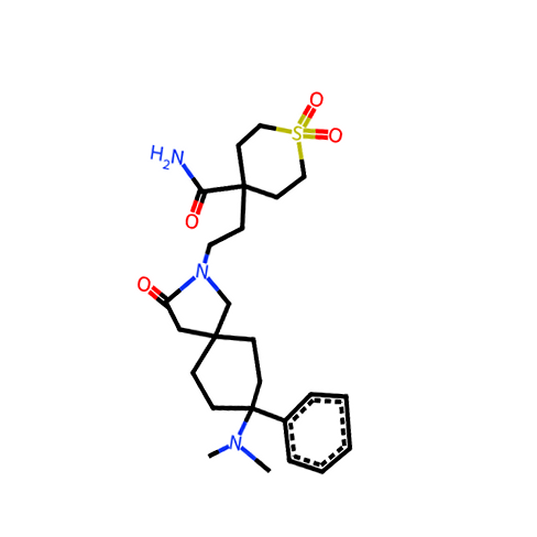 CN(C)C1(c2ccccc2)CCC2(CC1)CC(=O)N(CCC1(C(N)=O)CCS(=O)(=O)CC1)C2